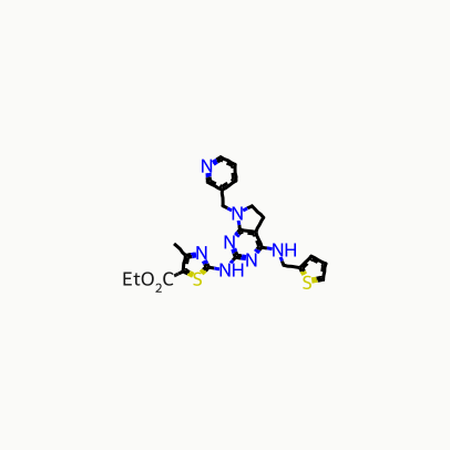 CCOC(=O)c1sc(Nc2nc(NCc3cccs3)c3c(n2)N(Cc2cccnc2)CC3)nc1C